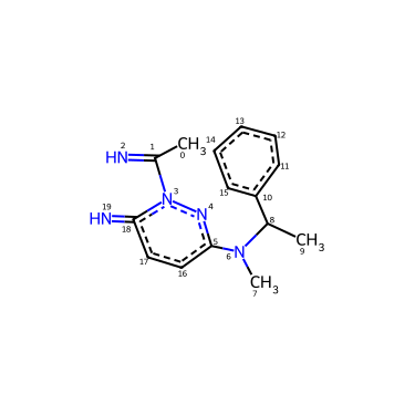 CC(=N)n1nc(N(C)C(C)c2ccccc2)ccc1=N